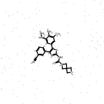 Cc1cc(-c2sc(NC(=O)N3CC4(COC4)C3)nc2-c2cccc(C#N)c2)cc(NN)c1N